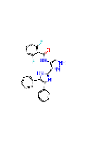 O=C(Nc1c[nH]nc1-c1nc(-c2ccccc2)c(-c2ccccc2)[nH]1)c1c(F)cccc1F